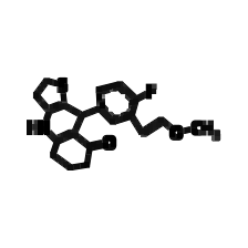 COC=Cc1cc(C2C3=C(CCS3)NC3=C2C(=O)CCC3)ccc1F